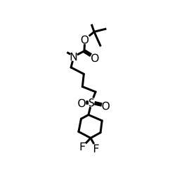 CN(CCCCS(=O)(=O)C1CCC(F)(F)CC1)C(=O)OC(C)(C)C